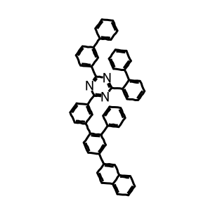 c1ccc(-c2cccc(-c3nc(-c4cccc(-c5ccc(-c6ccc7ccccc7c6)cc5-c5ccccc5)c4)nc(-c4ccccc4-c4ccccc4)n3)c2)cc1